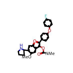 CNC(=O)Oc1c(-c2ccc(Oc3ccc(F)cc3)cc2)oc2cc(C3CCCN3)c(OC)cc12